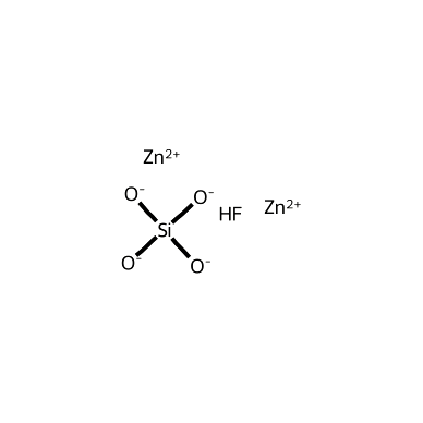 F.[O-][Si]([O-])([O-])[O-].[Zn+2].[Zn+2]